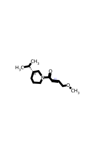 COC/C=C/C(=O)N1CCC[C@H](C(C)C)C1